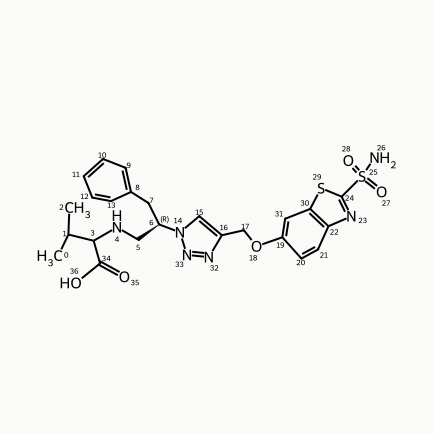 CC(C)C(NC[C@@H](Cc1ccccc1)n1cc(COc2ccc3nc(S(N)(=O)=O)sc3c2)nn1)C(=O)O